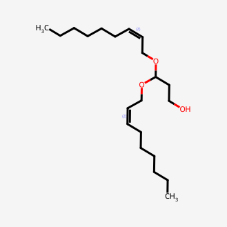 CCCCCC/C=C\COC(CCO)OC/C=C\CCCCCC